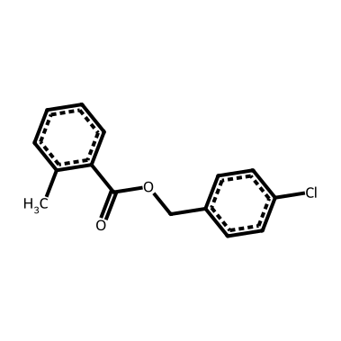 Cc1ccccc1C(=O)OCc1ccc(Cl)cc1